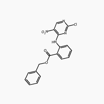 O=C(OCc1ccccc1)c1ccccc1Nc1nc(Cl)ncc1[N+](=O)[O-]